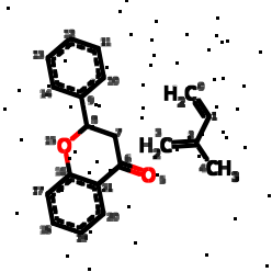 C=CC(=C)C.O=C1CC(c2ccccc2)Oc2ccccc21